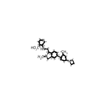 Cc1cc(N2CCC2)ccc1-c1ccc2c(c1)CN(C)C2CNc1cnccc1C(=O)O